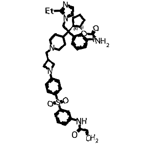 C=CC(=O)Nc1cccc(S(=O)(=O)c2ccc(N3CC(CN4CCC(C(Cn5ccnc5CC)(c5cccc(F)c5)[C@H]5CCC[C@@H]5OC(N)=O)CC4)C3)cc2)c1